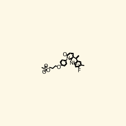 C=C(c1ccc(F)c(C)c1)c1ccc(=O)n(-c2ccc(OCCCOS(C)(=O)=O)cc2)c1N